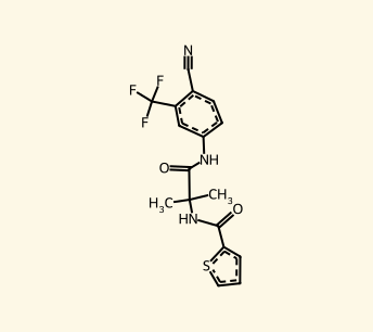 CC(C)(NC(=O)c1cccs1)C(=O)Nc1ccc(C#N)c(C(F)(F)F)c1